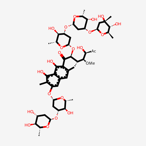 CO[C@@H]([C@@H]1Cc2cc3cc(O[C@H]4C[C@@H](O[C@H]5C[C@@H](O)[C@H](O)[C@@H](C)O5)[C@H](O)[C@@H](C)O4)c(C)c(O)c3c(O)c2C(=O)[C@H]1O[C@H]1C[C@@H](O[C@H]2C[C@@H](O[C@H]3C[C@](C)(O)[C@H](O)[C@@H](C)O3)[C@@H](O)[C@@H](C)O2)[C@H](O)[C@@H](C)O1)[C@@H](O)C(C)=O